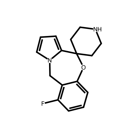 Fc1cccc2c1Cn1cccc1C1(CCNCC1)O2